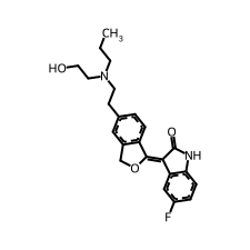 CCCN(CCO)CCc1ccc2c(c1)COC2=C1C(=O)Nc2ccc(F)cc21